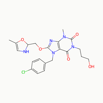 CC1=CNC(COc2nc3c(c(=O)n(CCCO)c(=O)n3C)n2Cc2ccc(Cl)cc2)O1